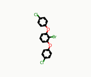 Clc1ccc(Oc2cccc(Oc3ccc(Cl)cc3)c2Br)cc1